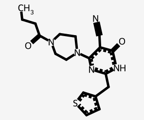 CCCC(=O)N1CCN(c2nc(Cc3ccsc3)[nH]c(=O)c2C#N)CC1